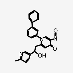 Cc1ccc(C(O)Cc2cc(=O)c(N=O)cn2-c2cccc(-c3ccccc3)c2)cn1